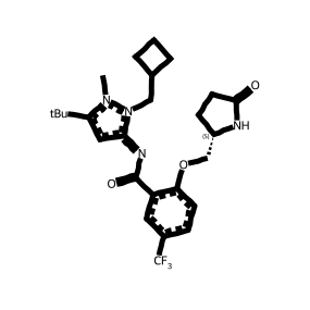 Cn1c(C(C)(C)C)cc(=NC(=O)c2cc(C(F)(F)F)ccc2OC[C@@H]2CCC(=O)N2)n1CC1CCC1